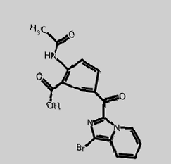 CC(=O)Nc1ccc(C(=O)c2nc(Br)c3ccccn23)cc1C(=O)O